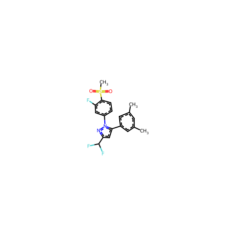 Cc1cc(C)cc(-c2cc(C(F)F)nn2-c2ccc(S(C)(=O)=O)c(F)c2)c1